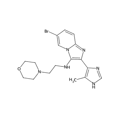 Cc1[nH]cnc1-c1nc2ccc(Br)cn2c1NCCN1CCOCC1